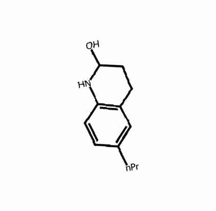 CCCc1ccc2c(c1)CCC(O)N2